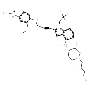 COC[C@H](O)CN1CC[C@@H](Nc2cccc3c2cc(C#CCNc2ccc(S(N)(=O)=O)cc2OC)n3CC(F)(F)F)[C@@H](F)C1